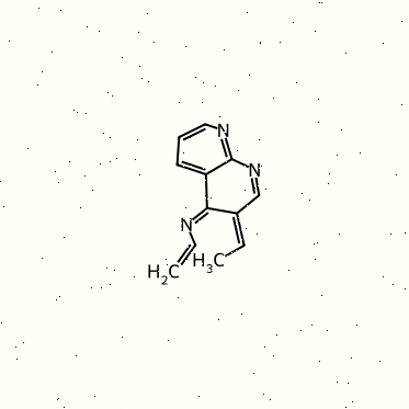 C=C/N=C1\C(=C/C)C=Nc2ncccc21